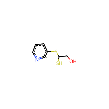 OCC(S)Sc1[c]nccc1